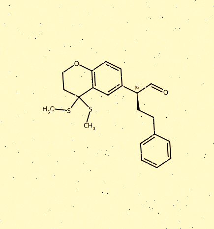 CSC1(SC)CCOc2ccc([C@@H](C=O)CCc3ccccc3)cc21